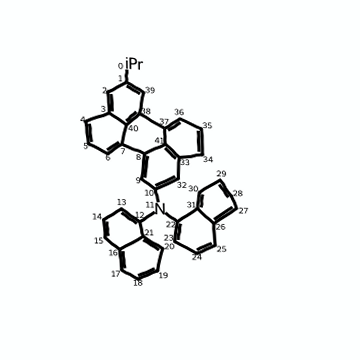 CC(C)c1cc2cccc3c4cc(N(c5cccc6ccccc56)c5cccc6ccccc56)cc5cccc(c(c1)c23)c54